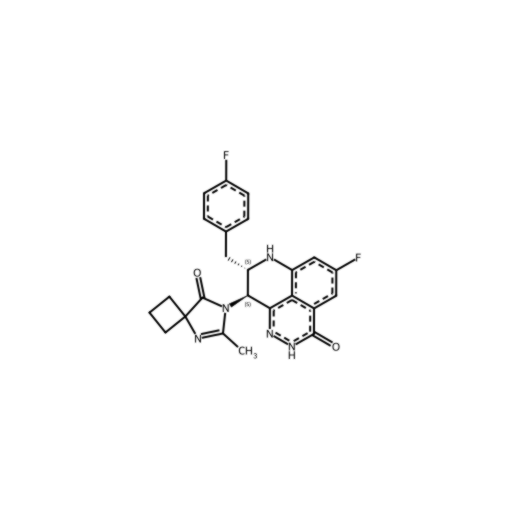 CC1=NC2(CCC2)C(=O)N1[C@@H]1c2n[nH]c(=O)c3cc(F)cc(c23)N[C@H]1Cc1ccc(F)cc1